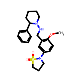 COc1ccc(N2CCCS2(=O)=O)cc1CNN1CCCCC1c1ccccc1